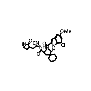 COc1cc(Cl)c2[nH]c(C(=O)N3CC4(CCCCC4)CC3C(=O)NC(C#N)CC3CCNC3=O)cc2c1